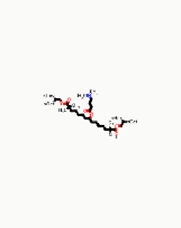 CCCCCCCCC(CCCCCC)COC(=O)C(C)(C)CCCCCC(CCCCCC(C)(C)C(=O)OCC(CCCCCC)CCCCCCCC)OC(=O)CCCN(C)C